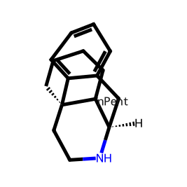 CCCCC[C@@]12CCCC[C@@]13CCN[C@@H]2Cc1ccccc13